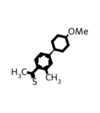 CO[C@H]1CC[C@@H](c2ccc(C(C)=S)c(C)c2)CC1